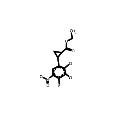 CCOC(=O)C1CC1c1cc([N+](=O)[O-])c(F)c(Cl)c1Cl